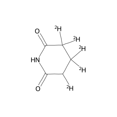 [2H]C1C(=O)NC(=O)C([2H])([2H])C1([2H])[2H]